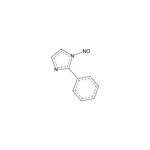 O=Nn1ccnc1-c1ccccc1